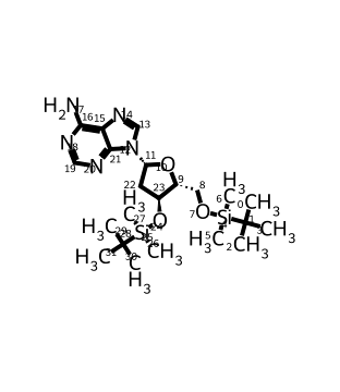 CC(C)(C)[Si](C)(C)OC[C@H]1O[C@@H](n2cnc3c(N)ncnc32)C[C@@H]1O[Si](C)(C)C(C)(C)C